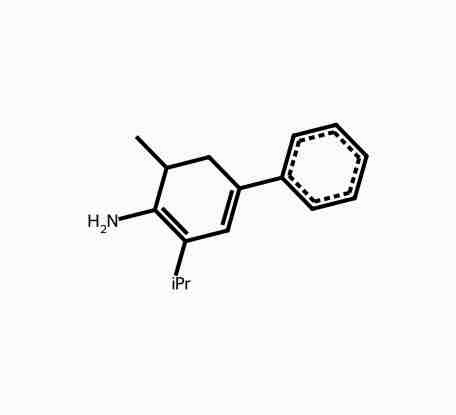 CC(C)C1=C(N)C(C)CC(c2ccccc2)=C1